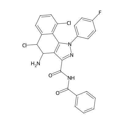 NC1c2c(C(=O)NC(=O)c3ccccc3)nn(-c3ccc(F)cc3)c2-c2c(Cl)cccc2C1Cl